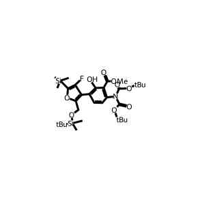 COC(=O)c1c(N(C(=O)OC(C)(C)C)C(=O)OC(C)(C)C)ccc(-c2c(CO[Si](C)(C)C(C)(C)C)oc([Si](C)(C)C)c2F)c1O